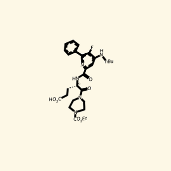 CCCCNc1cc(C(=O)N[C@@H](CCC(=O)O)C(=O)N2CCN(C(=O)OCC)CC2)nc(-c2ccccc2)c1F